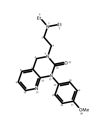 CCN(CC)CCN1Cc2cccnc2N(c2ccc(OC)cc2)C1=O